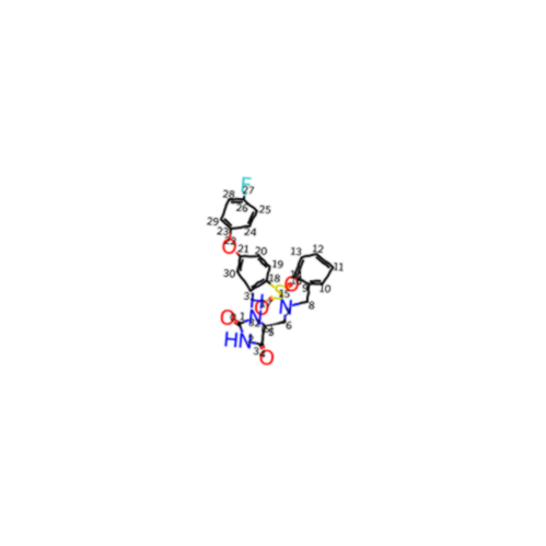 O=C1NC(=O)[C@H](CN(Cc2ccccc2)S(=O)(=O)c2ccc(Oc3ccc(F)cc3)cc2)N1